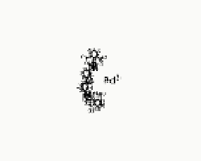 CC(C)c1cccc(C(C)C)c1-c1cnn(-c2cccc(Oc3cccc(-n4cc(-c5c(C(C)C)cccc5C(C)C)cn4)c3)c2)c1.[Pd+2]